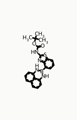 CC(C)(C)OC(=O)Nc1nc2c(B3Nc4cccc5cccc(c45)N3)cccc2s1